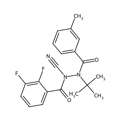 Cc1cccc(C(=O)N(N(C#N)C(=O)c2cccc(F)c2F)C(C)(C)C)c1